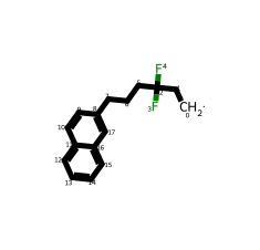 [CH2]CC(F)(F)CCCc1ccc2ccccc2c1